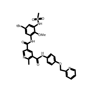 COc1c(NC(=O)c2cnc(C)c(C(=O)Nc3ccc(OCc4ccccn4)cc3)c2)cc(C(C)(C)C)cc1NS(C)(=O)=O